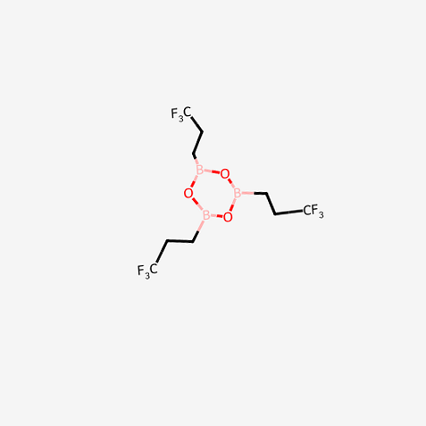 FC(F)(F)CCB1OB(CCC(F)(F)F)OB(CCC(F)(F)F)O1